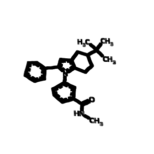 CNC(=O)c1cccc(-n2c(-c3ccccc3)cc3c2CCC(C(C)(C)C)C3)c1